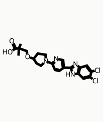 CC(C)(COC1CCN(c2ccc(-c3nc4cc(Cl)c(Cl)cc4[nH]3)cn2)CC1)C(=O)O